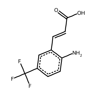 Nc1ccc(C(F)(F)F)cc1C=CC(=O)O